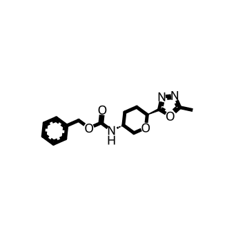 Cc1nnc([C@@H]2CC[C@@H](NC(=O)OCc3ccccc3)CO2)o1